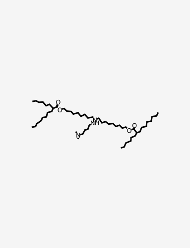 CCCCCCCCC(CCCCCC)C(=O)OCCCCCCCCCN(CCCCCCCCCOC(=O)C(CCCCCC)CCCCCCCC)NCCCCN(C)C